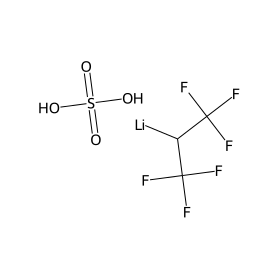 O=S(=O)(O)O.[Li][CH](C(F)(F)F)C(F)(F)F